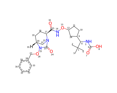 CC(C)(C)C(NC(=O)O)C1CCC(ONC(=O)[C@@H]2CC[C@@H]3CN2C(=O)N3OCc2ccccc2)C1